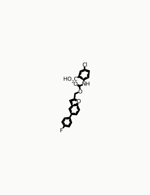 O=C(Nc1ccc(Cl)cc1C(=O)O)OCc1cc2cc(-c3ccc(F)cc3)ccc2o1